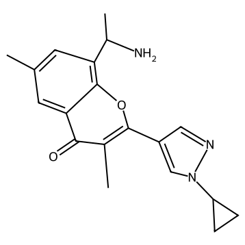 Cc1cc(C(C)N)c2oc(-c3cnn(C4CC4)c3)c(C)c(=O)c2c1